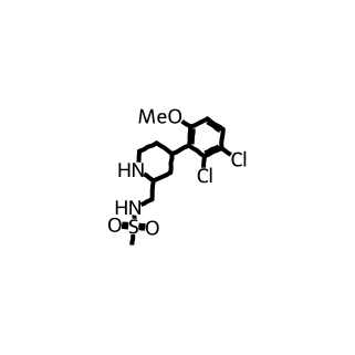 COc1ccc(Cl)c(Cl)c1C1CCNC(CNS(C)(=O)=O)C1